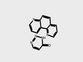 O=c1ccnn[nH]1.c1cnc2c(c1)ccc1ncccc12